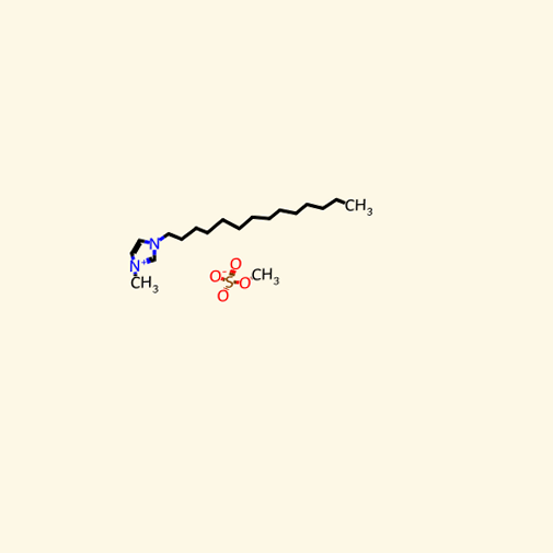 CCCCCCCCCCCCCCn1cc[n+](C)c1.COS(=O)(=O)[O-]